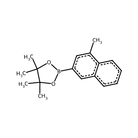 Cc1cc(B2OC(C)(C)C(C)(C)O2)cc2ccccc12